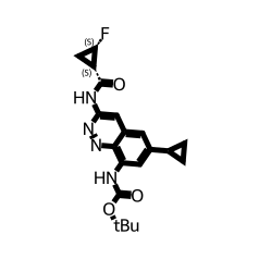 CC(C)(C)OC(=O)Nc1cc(C2CC2)cc2cc(NC(=O)[C@@H]3C[C@@H]3F)nnc12